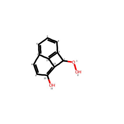 OOC1c2cccc3ccc(O)c1c23